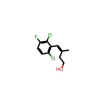 CC(=Cc1c(Cl)ccc(F)c1Cl)CCO